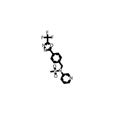 CS(=O)(=O)N(Cc1ccc(-c2nnc(C(F)(F)F)o2)cc1)c1cccnc1